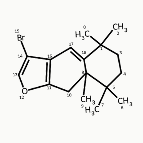 CC1(C)CCC(C)(C)C2(C)Cc3occ(Br)c3C=C12